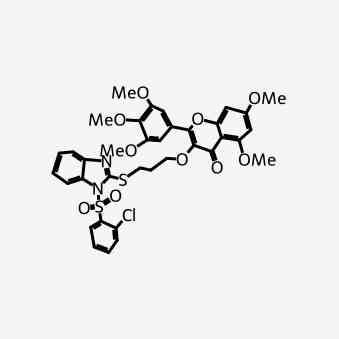 COc1cc(OC)c2c(=O)c(OCCCSc3nc4ccccc4n3S(=O)(=O)c3ccccc3Cl)c(-c3cc(OC)c(OC)c(OC)c3)oc2c1